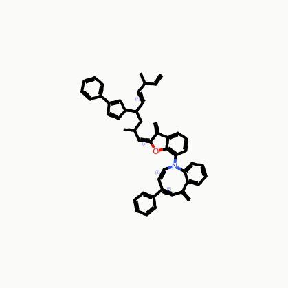 C=CC(C)/C=C/C(CC(C)/C=c1/oc2c(N3/C=C\C(c4ccccc4)=C/C(=C)c4ccccc43)cccc2c1=C)C1C=CC(c2ccccc2)=C1